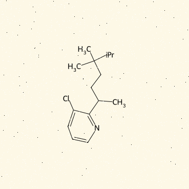 CC(CCC(C)(C)C(C)C)c1ncccc1Cl